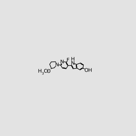 CO[C@@H]1CCCN(c2ccc(-c3cc4cc(O)ccc4[nH]3)c(F)n2)C1